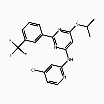 CC(C)Nc1cc(Nc2cc(Cl)ccn2)nc(-c2cccc(C(F)(F)F)c2)n1